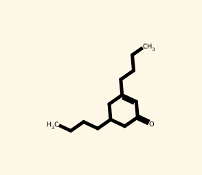 CCCCC1=CC(=O)CC(CCCC)C1